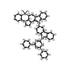 CC1(C)c2ccccc2-n2ccc3c2c1cc1c2ccccc2n(-c2ccc4c(c2)c2ccccc2n4-c2nc(-c4ccccc4)nc(-c4ccccc4)n2)c13